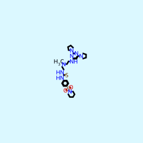 CN(CCNC(=S)Nc1ccc(S(=O)(=O)N2CCCCC2)cc1)CCNc1cc(N2CCCC2)nc(N2CCCC2)n1